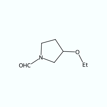 CCOC1CCN(C=O)C1